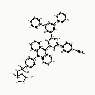 CC1(c2ccc(-c3c4ccccc4c(-c4nc(-c5ccc(C#N)cc5)nc(-c5cc(-c6ccccc6)cc(-c6ccccc6)c5)n4)c4ccccc34)cc2)C[C@@H]2CC[C@@H](C2)C1